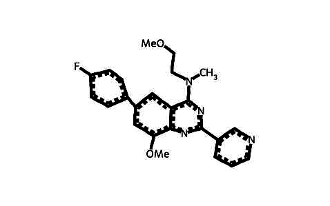 COCCN(C)c1nc(-c2cccnc2)nc2c(OC)cc(-c3ccc(F)cc3)cc12